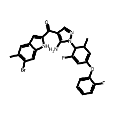 Cc1cc2cc(C(=O)c3cnn(C4C(F)=CC(Oc5ccccc5F)=CC4C)c3N)[nH]c2cc1Br